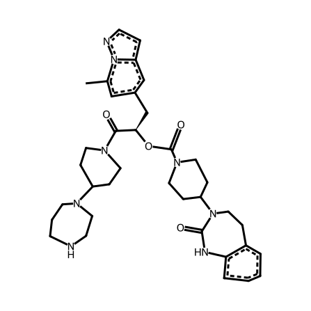 Cc1cc(C[C@@H](OC(=O)N2CCC(N3CCc4ccccc4NC3=O)CC2)C(=O)N2CCC(N3CCCNCC3)CC2)cc2ccnn12